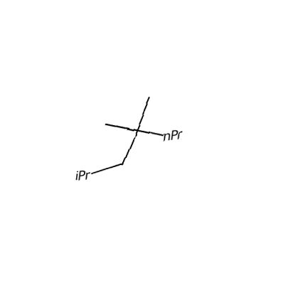 [CH2]CCC(C)(C)CC([CH2])C